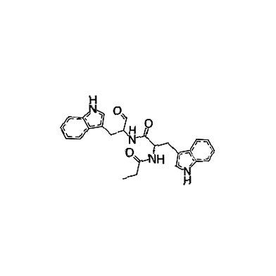 CCC(=O)NC(Cc1c[nH]c2ccccc12)C(=O)NC(C=O)Cc1c[nH]c2ccccc12